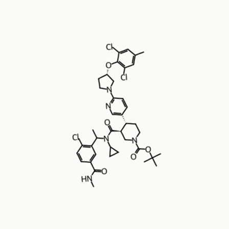 CNC(=O)c1ccc(Cl)c(C(C)N(C(=O)[C@@H]2CN(C(=O)OC(C)(C)C)CC[C@H]2c2ccc(N3CC[C@H](Oc4c(Cl)cc(C)cc4Cl)C3)nc2)C2CC2)c1